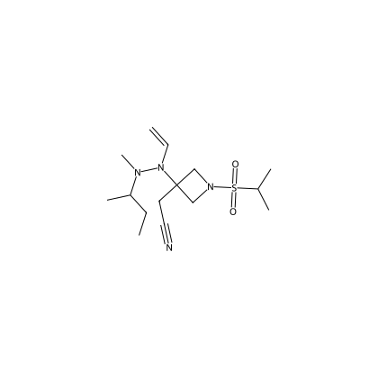 C=CN(N(C)C(C)CC)C1(CC#N)CN(S(=O)(=O)C(C)C)C1